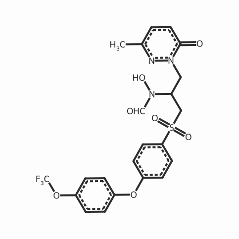 Cc1ccc(=O)n(CC(CS(=O)(=O)c2ccc(Oc3ccc(OC(F)(F)F)cc3)cc2)N(O)C=O)n1